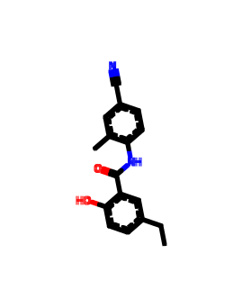 CCc1ccc(O)c(C(=O)Nc2ccc(C#N)cc2C)c1